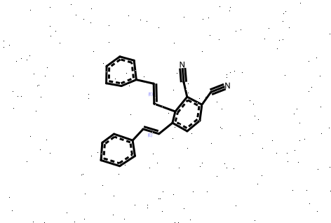 N#Cc1ccc(/C=C/c2ccccc2)c(/C=C/c2ccccc2)c1C#N